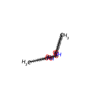 CCCCCCCCCCCCCCCCCCOC(=O)NOC(=O)CCCCC(=O)ONC(=O)OCCCCCCCCCCCCCCCCCC